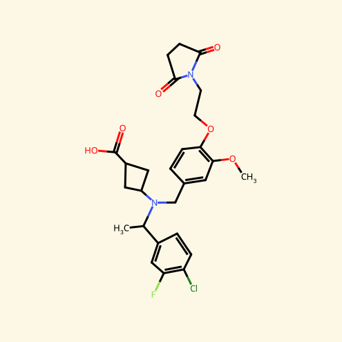 COc1cc(CN(C2CC(C(=O)O)C2)C(C)c2ccc(Cl)c(F)c2)ccc1OCCN1C(=O)CCC1=O